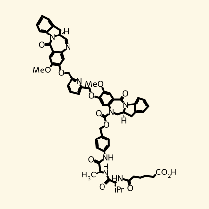 COc1cc2c(cc1OCc1cccc(COc3cc4c(cc3OC)C(=O)N3c5ccccc5C[C@H]3CN4C(=O)OCc3ccc(NC(=O)[C@H](C)NC(=O)[C@@H](NC(=O)CCCCC(=O)O)C(C)C)cc3)n1)N=C[C@@H]1Cc3ccccc3N1C2=O